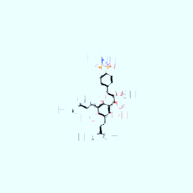 CNS(=O)(=O)c1ccc(-c2oc3c(CC=C(C)C)c(O)c(CC=C(C)C)c(O)c3c(=O)c2OC)cc1